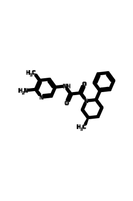 Cc1cc(NC(=O)C(=O)N2C[C@H](C)CCC2c2ccccc2)cnc1N